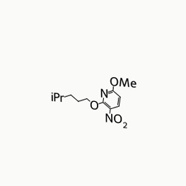 COc1ccc([N+](=O)[O-])c(OCCCC(C)C)n1